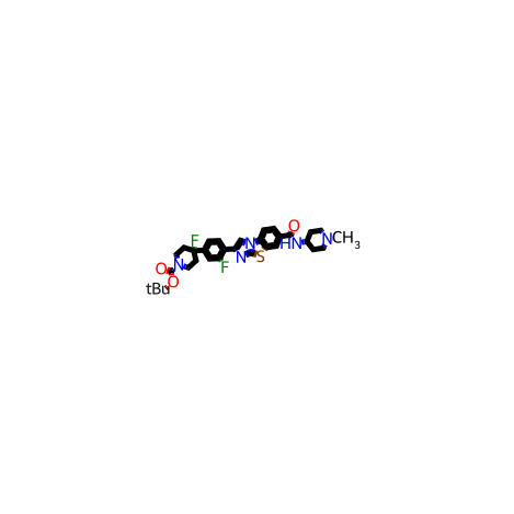 CN1CCC(NC(=O)c2ccc3c(c2)sc2nc(-c4ccc(C5(F)CCN(C(=O)OC(C)(C)C)CC5)cc4F)cn23)CC1